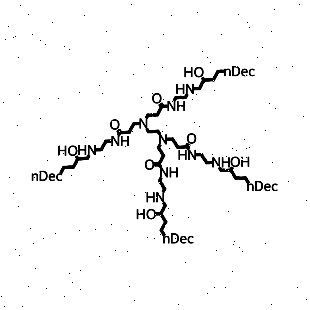 CCCCCCCCCCCCC(O)CNCCNC(=O)CCN(CCC(=O)NCCNCC(O)CCCCCCCCCCCC)CCN(CCC(=O)NCCNCC(O)CCCCCCCCCCCC)CCC(=O)NCCNCC(O)CCCCCCCCCCCC